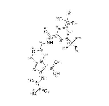 O=C(O)C(=O)Nc1sc2c(c1C(=O)O)CC(CNC(=O)c1cc(C(F)(F)F)cc(C(F)(F)F)c1)OC2